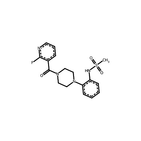 CS(=O)(=O)Nc1ccccc1N1CCN(C(=O)c2cccnc2F)CC1